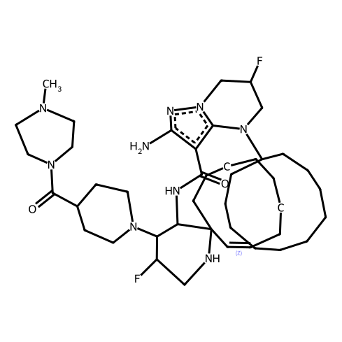 CN1CCN(C(=O)C2CCN(C3C(F)CNC4(/C=C\CCCCCCC4)C3NC(=O)c3c(N)nn4c3N(C3CCCCCCCCCC3)CC(F)C4)CC2)CC1